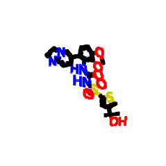 CC(C)(O)c1csc(S(=O)(=O)NC(=O)Nc2c(-c3ccc4nccn4c3)ccc3c2OCO3)c1